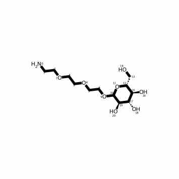 NCCOCCOCCOC1O[C@H](CO)[C@@H](O)[C@H](O)[C@H]1O